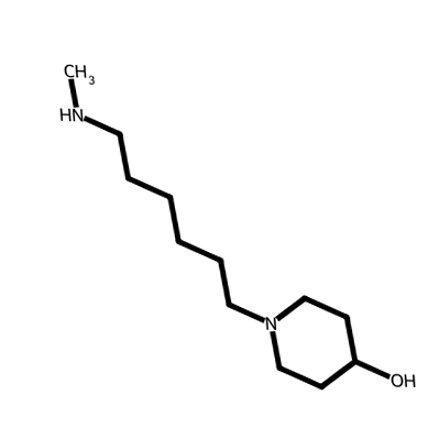 CNCCCCCCN1CCC(O)CC1